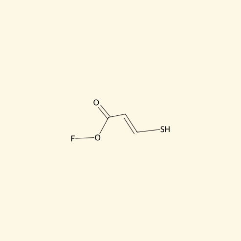 O=C(/C=C/S)OF